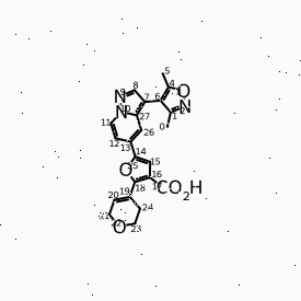 Cc1noc(C)c1-c1cnn2ccc(-c3cc(C(=O)O)c(C4=CCOCC4)o3)cc12